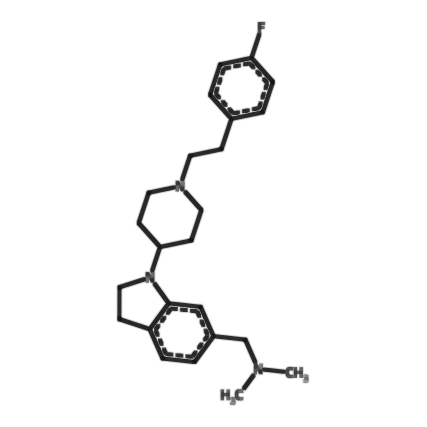 CN(C)Cc1ccc2c(c1)N(C1CCN(CCc3ccc(F)cc3)CC1)CC2